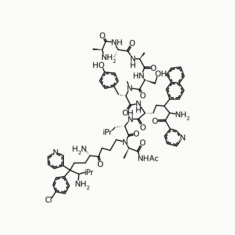 CC(=O)NC(=O)[C@@H](C)N(CCCC(=O)[C@@H](N)CCC(c1ccc(Cl)cc1)(c1cccnc1)C(N)C(C)C)C(=O)[C@H](CC(C)C)NC(=O)[C@@H](CCC(c1ccc2ccccc2c1)C(N)C(=O)c1cccnc1)NC(=O)[C@H](Cc1ccc(O)cc1)N(C)C(=O)[C@H](CO)NC(=O)[C@H](C)NC(=O)[C@H](C)NC(=O)[C@H](C)N